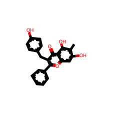 Cc1c(O)cc2oc(-c3ccccc3)c(Cc3ccc(O)cc3)c(=O)c2c1O